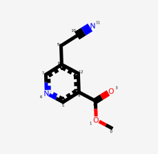 COC(=O)c1cncc(CC#N)c1